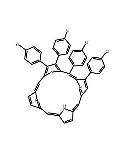 Clc1ccc(C2=Cc3cc4ccc(cc5nc(cc6[nH]c(c(-c7ccc(Cl)cc7)c2n3)c(-c2ccc(Cl)cc2)c6-c2ccc(Cl)cc2)C=C5)[nH]4)cc1